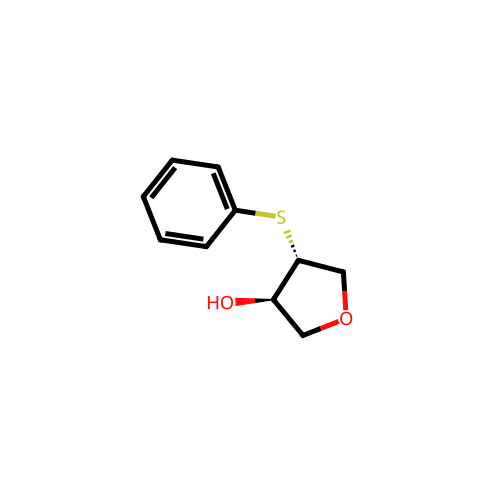 O[C@@H]1COC[C@H]1Sc1ccccc1